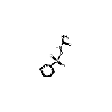 NC(=O)NOS(=O)(=O)c1ccccc1